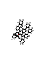 c1ccc(-c2nc(-c3ccccc3)nc(-c3cc(-c4c(-c5ccccc5)cccc4-c4ccccc4)cnc3-n3c4ccccc4c4ccc5c6ccccc6oc5c43)n2)cc1